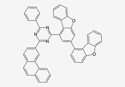 c1ccc(-c2nc(-c3ccc4ccc5ccccc5c4c3)nc(-c3cc(-c4cccc5oc6ccccc6c45)cc4oc5ccccc5c34)n2)cc1